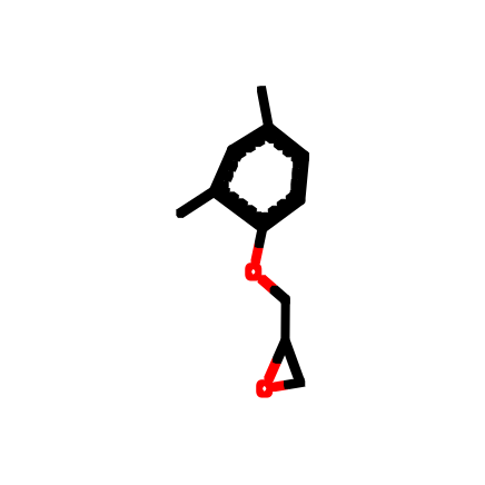 Cc1ccc(OCC2CO2)c(C)c1